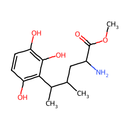 COC(=O)C(N)CC(C)C(C)c1c(O)ccc(O)c1O